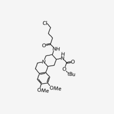 COc1cc2c(cc1OC)C1CC(NC(=O)OC(C)(C)C)C(NC(=O)CCCCl)CN1CC2